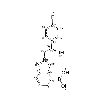 OB(O)c1cccc2nn(C[C@H](O)c3ccc(F)cc3)cc12